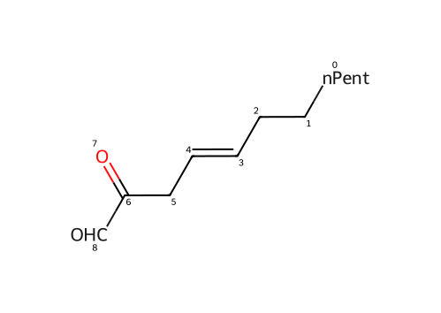 CCCCCCCC=CCC(=O)C=O